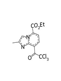 CCOC(=O)c1ccc(C(=O)C(Cl)(Cl)Cl)c2nc(C)cn12